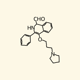 O=CC1NC(c2ccccc2)=C(OCCCN2CCCC2)c2ccccc21